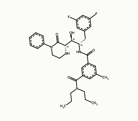 CCCN(CCC)C(=O)c1cc(C)cc(C(=O)N[C@@H](Cc2cc(F)cc(F)c2)[C@H](O)[C@@H]2NCCN(c3ccccc3)C2=O)c1